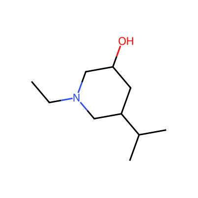 CCN1CC(O)CC(C(C)C)C1